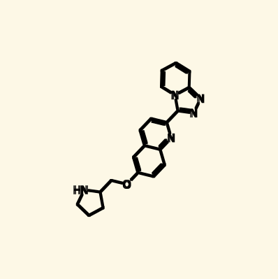 c1ccn2c(-c3ccc4cc(OCC5CCCN5)ccc4n3)nnc2c1